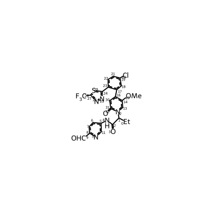 CCC(C(=O)Nc1ccc(C=O)nc1)n1cc(OC)c(-c2cc(Cl)ccc2-c2nnc(C(F)(F)F)s2)cc1=O